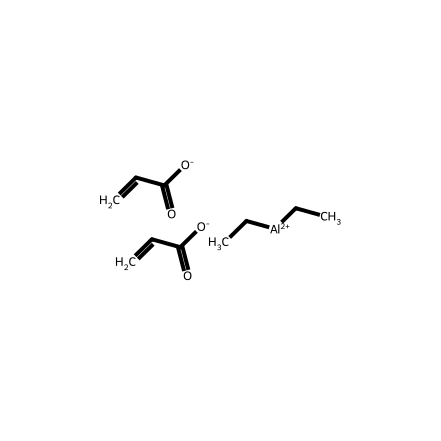 C=CC(=O)[O-].C=CC(=O)[O-].C[CH2][Al+2][CH2]C